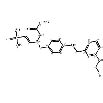 CCCCCC(=O)N[C@@H](C=CP(=O)(O)O)Cc1ccc(OCc2cc(OCC(F)(F)F)ccn2)cc1